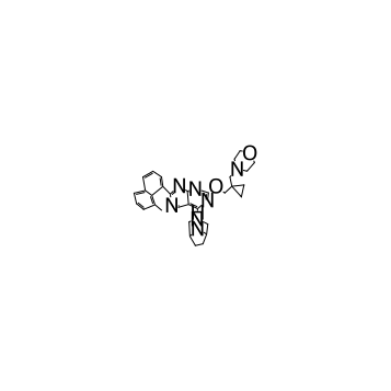 Cc1cccc2cccc(-c3ncc4c(N5CC6CCC(C5)N6)nc(OCC5(CN6CCOCC6)CC5)nc4n3)c12